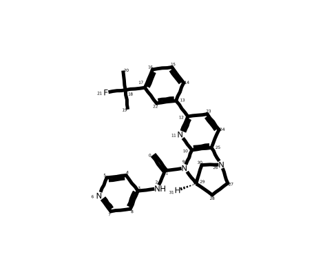 C=C(Nc1ccncc1)N1c2nc(-c3cccc(C(C)(C)F)c3)ccc2N2CC[C@@H]1C2